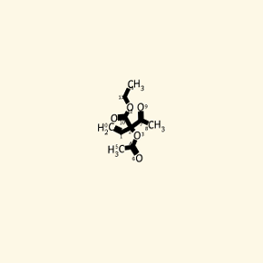 C=CC(OC(C)=O)(C(C)=O)C(=O)OCC